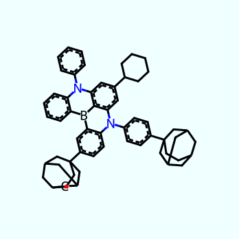 c1ccc(N2c3ccccc3B3c4cc(C56CCC7CC(CC(C7)C5)C6)ccc4N(c4ccc(C56CCC7CC(CC(C7)C5)C6)cc4)c4cc(C5CCCCC5)cc2c43)cc1